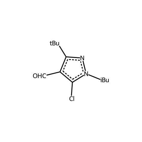 CCC(C)n1nc(C(C)(C)C)c(C=O)c1Cl